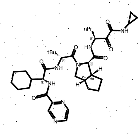 CCC[C@H](NC(=O)[C@H]1[C@@H]2CCC[C@@H]2CN1C(=O)[C@H](NC(=O)[C@@H](NC(=O)c1cnccn1)C1CCCCC1)C(C)(C)C)C(=O)C(=O)NC1CC1